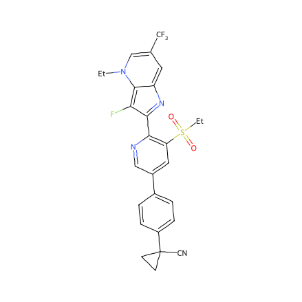 CCn1cc(C(F)(F)F)cc2nc(-c3ncc(-c4ccc(C5(C#N)CC5)cc4)cc3S(=O)(=O)CC)c(F)c1-2